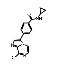 O=C(NC1CC1)c1ccc(-c2cnc3c(Cl)nccn23)cc1